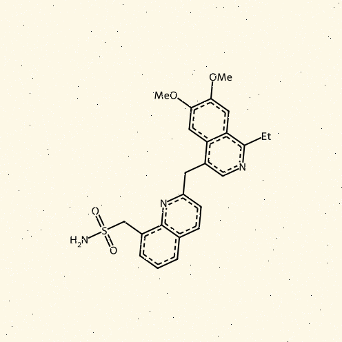 CCc1ncc(Cc2ccc3cccc(CS(N)(=O)=O)c3n2)c2cc(OC)c(OC)cc12